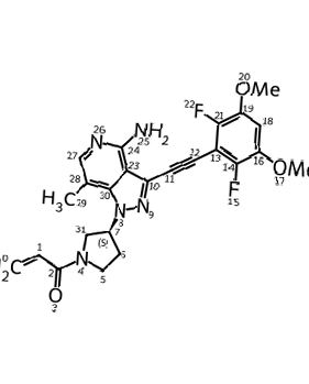 C=CC(=O)N1CC[C@H](n2nc(C#Cc3c(F)c(OC)cc(OC)c3F)c3c(N)ncc(C)c32)C1